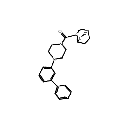 O=C(N1CCN(c2cccc(-c3ccccc3)c2)CC1)N1CCN2CCC1CC2